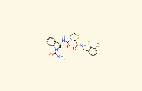 NC(=O)n1cc(NC(=O)N2CCS[C@H]2C(=O)NCc2cccc(Cl)c2F)c2ccccc21